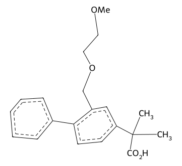 COCCOCc1cc(C(C)(C)C(=O)O)ccc1-c1ccccc1